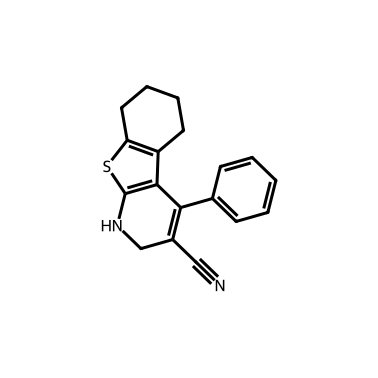 N#CC1=C(c2ccccc2)c2c(sc3c2CCCC3)NC1